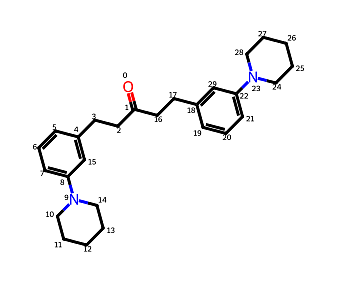 O=C(CCc1cccc(N2CCCCC2)c1)CCc1cccc(N2CCCCC2)c1